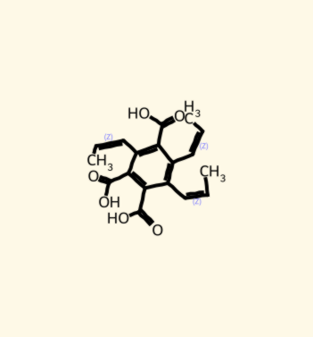 C/C=C\c1c(/C=C\C)c(C(=O)O)c(C(=O)O)c(/C=C\C)c1C(=O)O